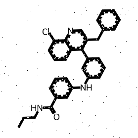 CCCNC(=O)c1cccc(Nc2cccc(-c3c(Cc4ccccc4)cnc4c(Cl)cccc34)c2)c1